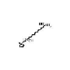 Cc1nccn1CCNC(O)CCCCCCCCCCC(N)O